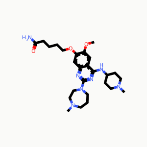 COc1cc2c(NC3CCN(C)CC3)nc(N3CCCN(C)CC3)nc2cc1OCCCCC(N)=O